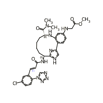 COC(=O)CNc1ccc2c(c1)N[C@@H](C(=O)N(C)C)CCCC[C@H](NC(=O)/C=C/c1cc(Cl)ccc1-n1cnnn1)c1nc-2c[nH]1